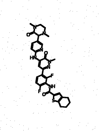 CN1CCN(C)C(c2ccc(Nc3cc(-c4ccc(F)c(NC(=O)c5cc6c(s5)CCCC6)c4F)nn(C)c3=O)nc2)C1=O